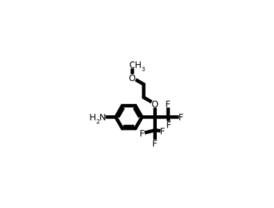 COCCOC(c1ccc(N)cc1)(C(F)(F)F)C(F)(F)F